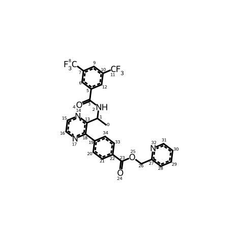 CC(NC(=O)c1cc(C(F)(F)F)cc(C(F)(F)F)c1)c1nccnc1-c1ccc(C(=O)OCc2ccccn2)cc1